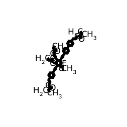 C=CC(=O)OC#Cc1c(C#Cc2ccc(-c3ccc(/C=C/OC(=O)C(=C)C)cc3)cc2)c(F)c(OC)c(C#Cc2ccc(/C=C/OC(=O)C(=C)C)cc2)c1OC(=O)C=C